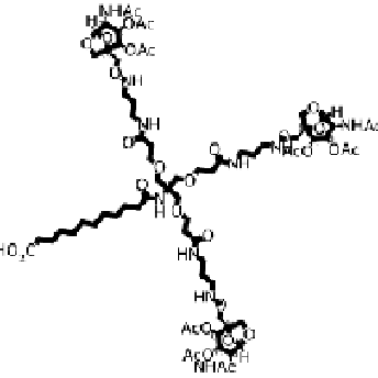 CC(=O)N[C@H]1[C@@H]2OC[C@](CONCCCNC(=O)CCOCC(COCCC(=O)NCCCNOC[C@@]34CO[C@@H](O3)[C@H](NC(C)=O)[C@@H](OC(C)=O)[C@H]4OC(C)=O)(COCCC(=O)NCCCNOC[C@@]34CO[C@@H](O3)[C@H](NC(C)=O)[C@@H](OC(C)=O)[C@H]4OC(C)=O)NC(=O)CCCCCCCCCCC(=O)O)(O2)[C@H](OC(C)=O)[C@@H]1OC(C)=O